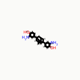 CC12CC3CC(c4ccc(O)c(N)c4)(C1)CC(c1ccc(O)c(N)c1)(C3)C2